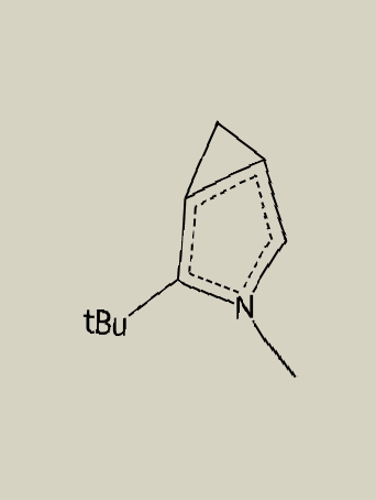 Cn1cc2c(c1C(C)(C)C)C2